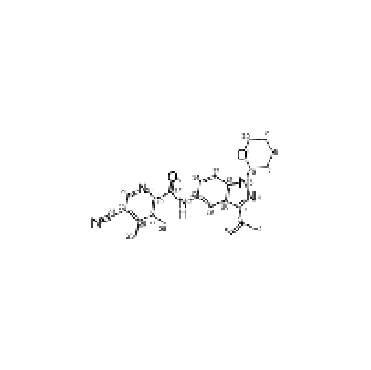 C=C(C)c1nn(C2CCCCO2)c2ccc(NC(=O)c3ncc(C#N)c(C)c3C)cc12